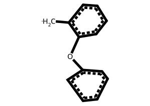 [CH2]c1ccccc1Oc1ccccc1